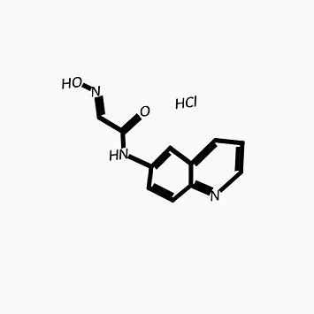 Cl.O=C(C=NO)Nc1ccc2ncccc2c1